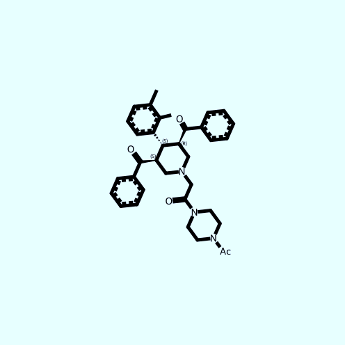 CC(=O)N1CCN(C(=O)CN2C[C@H](C(=O)c3ccccc3)[C@@H](c3cccc(C)c3C)[C@H](C(=O)c3ccccc3)C2)CC1